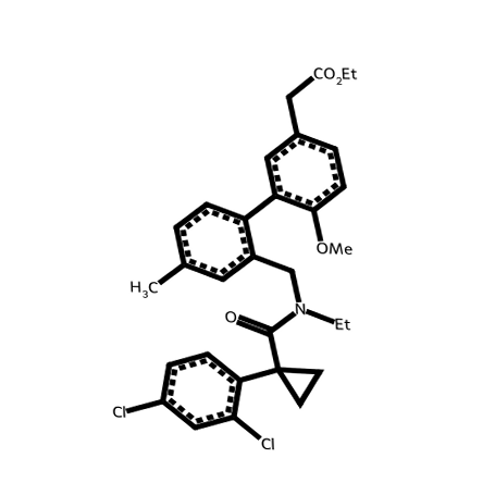 CCOC(=O)Cc1ccc(OC)c(-c2ccc(C)cc2CN(CC)C(=O)C2(c3ccc(Cl)cc3Cl)CC2)c1